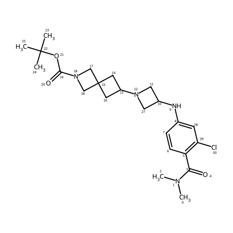 CN(C)C(=O)c1ccc(NC2CN(C3CC4(C3)CN(C(=O)OC(C)(C)C)C4)C2)cc1Cl